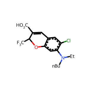 CCCCN(CC)c1cc2c(cc1Cl)C=C(C(=O)O)C(C(F)(F)F)O2